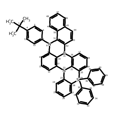 CC(C)(C)c1ccc(N2c3cccc4c3B(c3cccc5c3N4c3ccccc3[Si]5(c3ccccc3)c3ccccc3)c3ccc4ccccc4c32)cc1